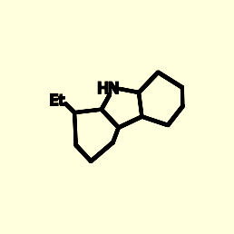 CCC1CCCC2C3CCCCC3NC12